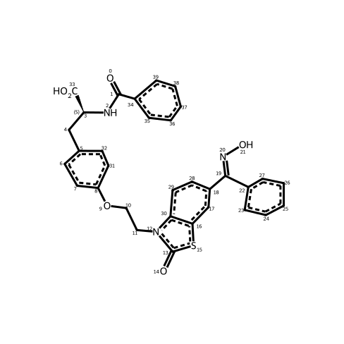 O=C(N[C@@H](Cc1ccc(OCCn2c(=O)sc3cc(C(=NO)c4ccccc4)ccc32)cc1)C(=O)O)c1ccccc1